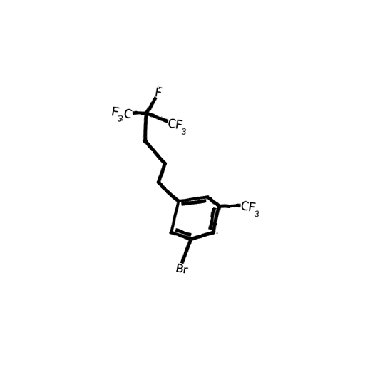 FC(F)(F)c1[c]c(Br)cc(CCCC(F)(C(F)(F)F)C(F)(F)F)c1